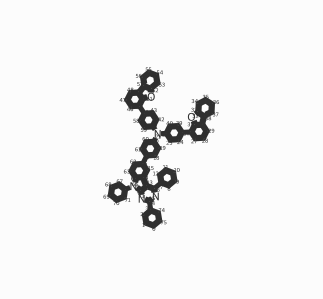 c1ccc(-c2nc(-c3ccccc3)c3c4cc(-c5ccc(N(c6ccc(-c7cccc8c7oc7ccccc78)cc6)c6ccc(-c7cccc8c7oc7ccccc78)cc6)cc5)ccc4n(-c4ccccc4)c3n2)cc1